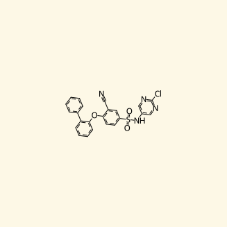 N#Cc1cc(S(=O)(=O)Nc2cnc(Cl)nc2)ccc1Oc1ccccc1-c1ccccc1